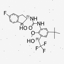 COc1c(NC(=O)N[C@H]2Cc3cc(F)ccc3[C@H]2O)cc(C(C)(C)C)cc1[C@@H](O)C(F)(F)F